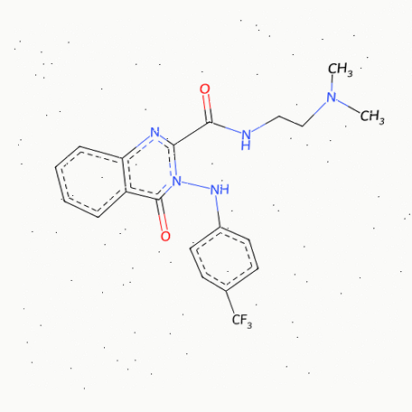 CN(C)CCNC(=O)c1nc2ccccc2c(=O)n1Nc1ccc(C(F)(F)F)cc1